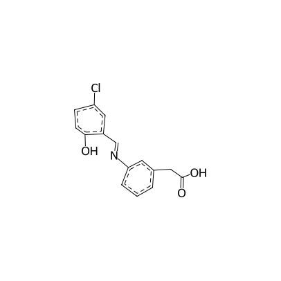 O=C(O)Cc1cccc(N=Cc2cc(Cl)ccc2O)c1